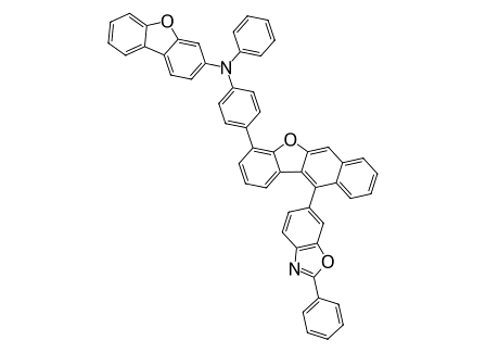 c1ccc(-c2nc3ccc(-c4c5ccccc5cc5oc6c(-c7ccc(N(c8ccccc8)c8ccc9c(c8)oc8ccccc89)cc7)cccc6c45)cc3o2)cc1